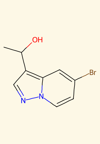 CC(O)c1cnn2ccc(Br)cc12